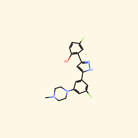 CN1CCN(c2cc(F)cc(-c3cc(-c4cc(F)ccc4O)n[nH]3)c2)CC1